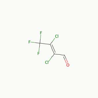 O=CC(Cl)=C(Cl)C(F)(F)F